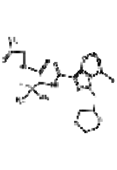 CC(C)(C)C(NC(=O)c1nn(CC2COCCO2)c2c(F)cccc12)C(=O)NCC(N)=O